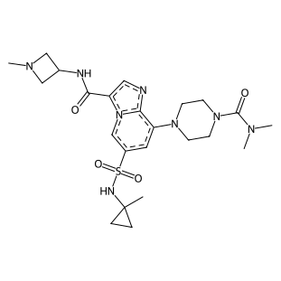 CN1CC(NC(=O)c2cnc3c(N4CCN(C(=O)N(C)C)CC4)cc(S(=O)(=O)NC4(C)CC4)cn23)C1